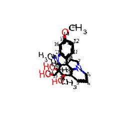 CC[C@]12C=CCN3CC[C@@]4(c5ccc(OC)cc5N(C)[C@H]4C(O)(CO)[C@@H]1O)[C@@H]32